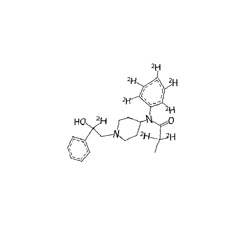 [2H]c1c([2H])c([2H])c(N(C(=O)C([2H])([2H])C)C2CCN(CC([2H])(O)c3ccccc3)CC2)c([2H])c1[2H]